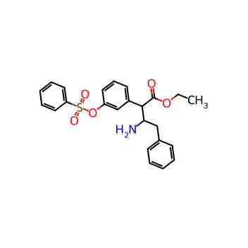 CCOC(=O)C(c1cccc(OS(=O)(=O)c2ccccc2)c1)C(N)Cc1ccccc1